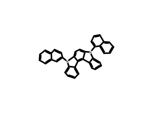 c1ccc2cc(-n3c4ccccc4c4c5c6ccccc6n(-c6cccc7ccccc67)c5ccc43)ccc2c1